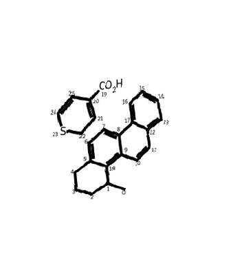 CC1CCCc2ccc3c(ccc4ccccc43)c21.O=C(O)C1=CCSC=C1